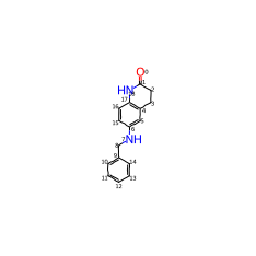 O=C1CCc2cc(NCc3ccccc3)ccc2N1